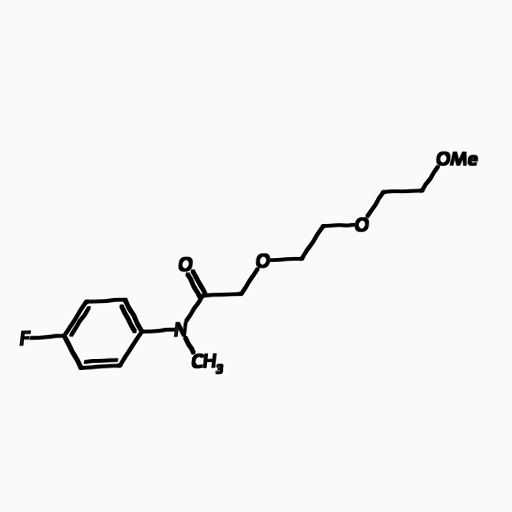 COCCOCCOCC(=O)N(C)c1ccc(F)cc1